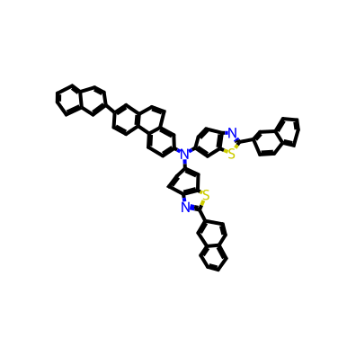 c1ccc2cc(-c3ccc4c(ccc5cc(N(c6ccc7nc(-c8ccc9ccccc9c8)sc7c6)c6ccc7nc(-c8ccc9ccccc9c8)sc7c6)ccc54)c3)ccc2c1